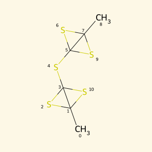 CC12SC1(SC13SC1(C)S3)S2